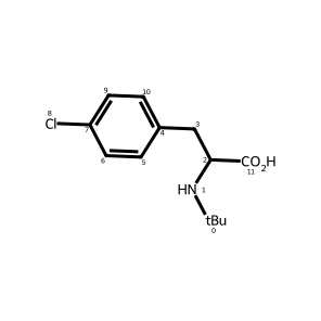 CC(C)(C)NC(Cc1ccc(Cl)cc1)C(=O)O